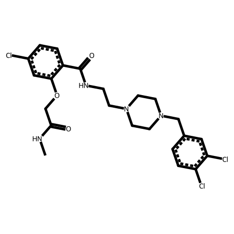 CNC(=O)COc1cc(Cl)ccc1C(=O)NCCN1CCN(Cc2ccc(Cl)c(Cl)c2)CC1